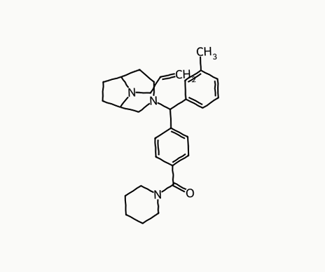 C=CCN1C2CCC1CN(C(c1ccc(C(=O)N3CCCCC3)cc1)c1cccc(C)c1)CC2